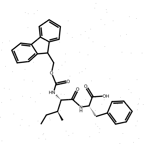 CC[C@H](C)[C@H](NC(=O)OCC1c2ccccc2-c2ccccc21)C(=O)N[C@@H](Cc1ccccc1)C(=O)O